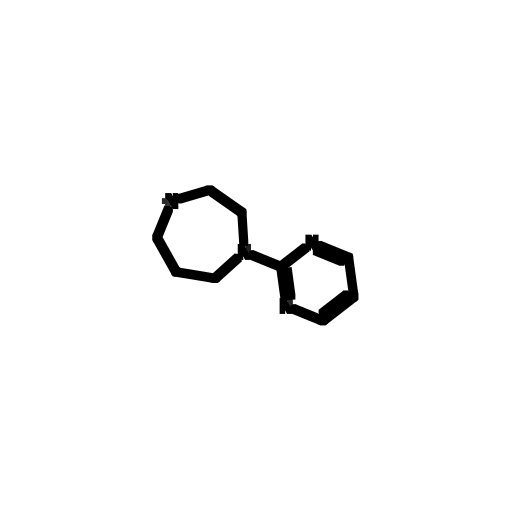 c1cnc(N2CCC[N]CC2)nc1